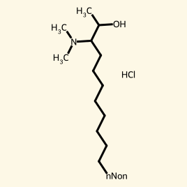 CCCCCCCCCCCCCCCCCC(C(C)O)N(C)C.Cl